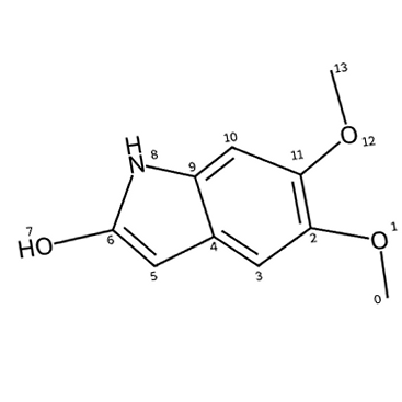 COc1cc2cc(O)[nH]c2cc1OC